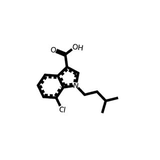 CC(C)CCn1cc(C(=O)O)c2cccc(Cl)c21